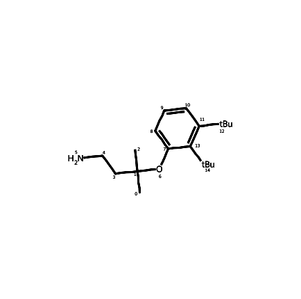 CC(C)(CCN)Oc1cccc(C(C)(C)C)c1C(C)(C)C